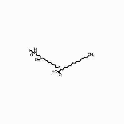 CCCCCCCCCCCCCCC(SCCCCCCCCN(C=O)CCNC(=O)CI)C(=O)O